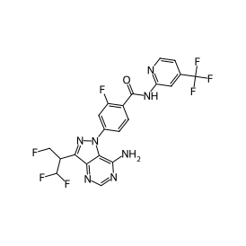 Nc1ncnc2c(C(CF)C(F)F)nn(-c3ccc(C(=O)Nc4cc(C(F)(F)F)ccn4)c(F)c3)c12